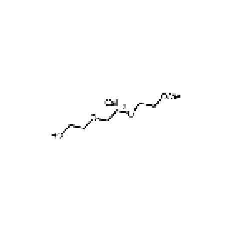 COCCOCCOCCO.[CaH2]